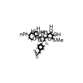 CCC[C@@H]1CCO[C@@H]2[C@H](CN[C@@H]2C(=O)N[C@@H](C2OC(SC)C(O)C(O)C2O)[C@H](C)Sc2ccc(CN(C)C)cc2)C1